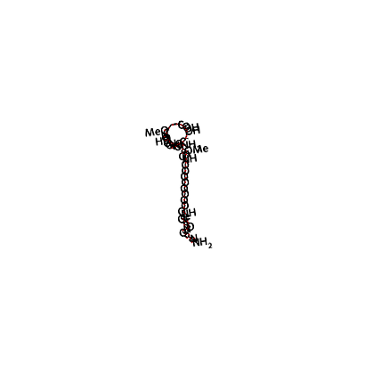 CO[C@H]1C[C@@H]2CC[C@@H](C)[C@@](O)(O2)C(=O)C(=O)N2CCCC[C@H]2C(=O)O[C@H]([C@H](N)C[C@@H]2CC[C@@H](OC(=O)NCCOCCOCCOCCOCCOCCOCCOCCOCCC(=O)NCC[S+]([O-])c3ccc(C(=O)N4CCOc5ccc(-c6ccc(N)nc6)cc5C4)c(C)c3F)[C@H](OC)C2)CC[C@H](C)/C=C(\C)[C@@H](O)[C@@H](O)C(=O)[C@H](C)C[C@H](C)/C=C/C=C/C=C/1C